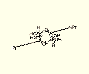 CC(C)CCCCCCCCCCCCC1OC2OC(COC(=O)C(C)C(CCCCCCCCCCCC(C)C)OC3OC(COC(=O)C1C)C(O)C(O)C3O)C(O)C(O)C2O